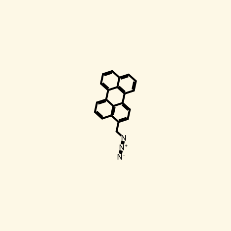 [N-]=[N+]=NCc1ccc2c3cccc4cccc(c5cccc1c52)c43